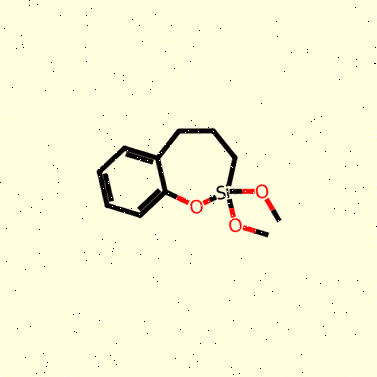 CO[Si]1(OC)CCCc2ccccc2O1